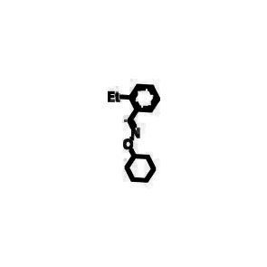 CCc1ccccc1/[C]=N/OC1CCCCC1